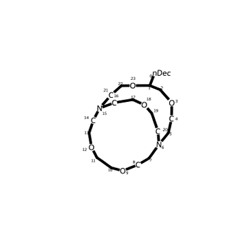 CCCCCCCCCCC1COCCN2CCOCCOCCN(CCOCC2)CCO1